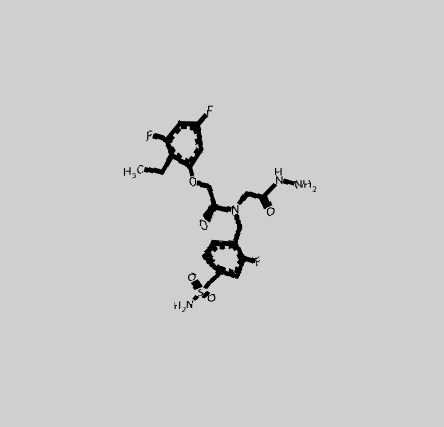 CCc1c(F)cc(F)cc1OCC(=O)N(CC(=O)NN)Cc1ccc(S(N)(=O)=O)cc1F